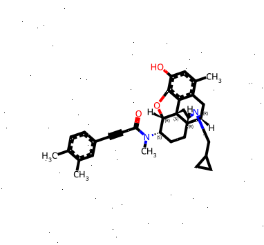 Cc1ccc(C#CC(=O)N(C)[C@H]2CC[C@H]3[C@H]4Cc5c(C)cc(O)c6c5[C@@]3(CCN4CC3CC3)[C@H]2O6)cc1C